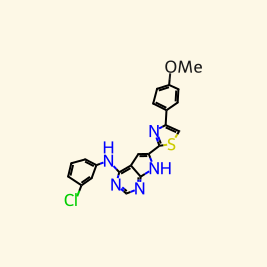 COc1ccc(-c2csc(-c3cc4c(Nc5cccc(Cl)c5)ncnc4[nH]3)n2)cc1